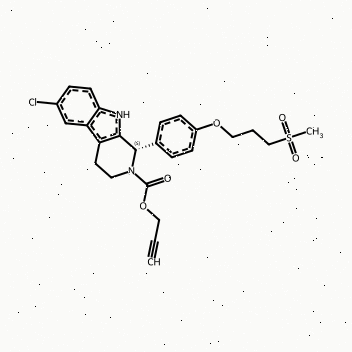 C#CCOC(=O)N1CCc2c([nH]c3ccc(Cl)cc23)[C@@H]1c1ccc(OCCCS(C)(=O)=O)cc1